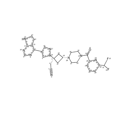 N#CC[C@]1(n2cc(-c3ncnc4[nH]ccc34)cn2)C[C@H](N2CCN(C(=O)c3cccc(C(F)F)n3)CC2)C1